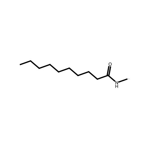 [CH2]NC(=O)CCCCCCCCC